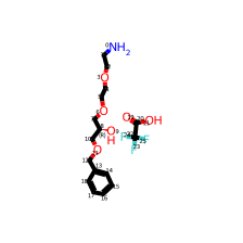 NCCOCCOC[C@H](O)COCc1ccccc1.O=C(O)C(F)(F)F